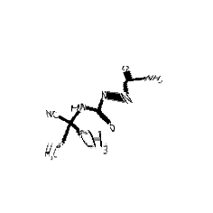 CC(C)(C#N)NC(=O)N=NC(N)=O